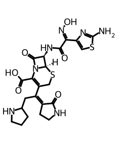 Nc1nc(C(=NO)C(=O)N[C@@H]2C(=O)N3C(C(=O)O)=C(C(CC4CCCN4)=C4CCNC4=O)CS[C@H]23)cs1